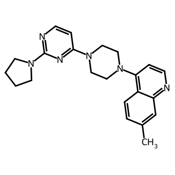 Cc1ccc2c(N3CCN(c4ccnc(N5CCCC5)n4)CC3)ccnc2c1